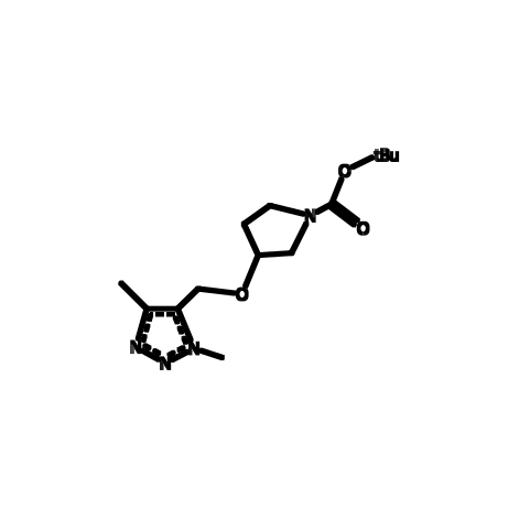 Cc1nnn(C)c1COC1CCN(C(=O)OC(C)(C)C)C1